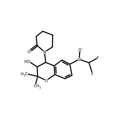 CC1(C)Oc2ccc([S+]([O-])C(F)F)cc2C(N2CCCCC2=O)C1O